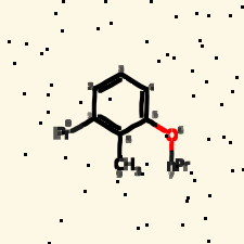 [CH2]C(C)c1cccc(OCCC)c1C